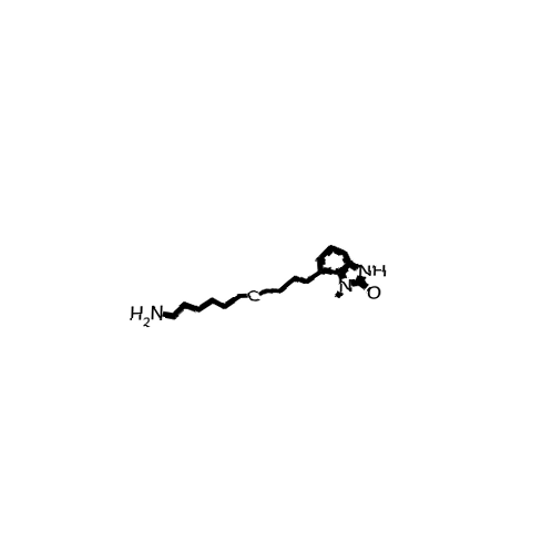 Cn1c(=O)[nH]c2cccc(CCCCCCCCCCCN)c21